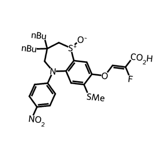 CCCCC1(CCCC)CN(c2ccc([N+](=O)[O-])cc2)c2cc(SC)c(O/C=C(\F)C(=O)O)cc2[S+]([O-])C1